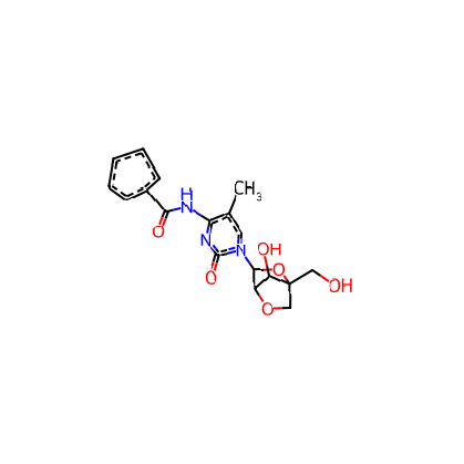 Cc1cn(C2OC3(CO)COC2C3O)c(=O)nc1NC(=O)c1ccccc1